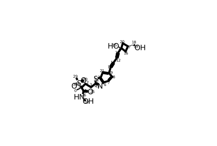 C[C@@](CCc1nc2ccc(C#CC#C[C@]3(O)C[C@@H](CO)C3)cc2s1)(C(=O)NO)S(C)(=O)=O